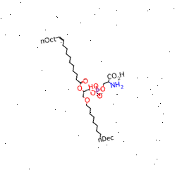 CCCCCCCC/C=C\CCCCCCCCCC(=O)O[C@H](COCCCCCCCCCCCCCCCCCC)COP(=O)(O)OC[C@H](N)C(=O)O